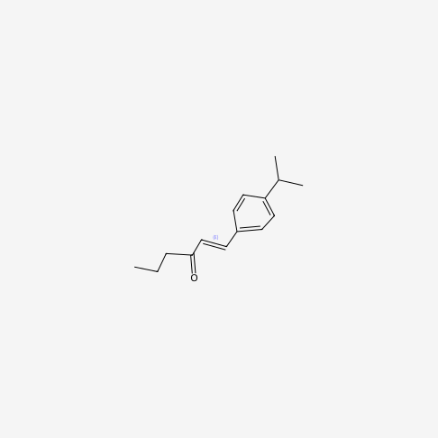 CCCC(=O)/C=C/c1ccc(C(C)C)cc1